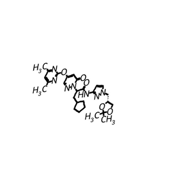 Cc1cc(C)nc(Oc2cnn(C(CC3CCCC3)C(=O)Nc3ccn(C[C@@H]4COC(C)(C)O4)n3)c(=O)c2)n1